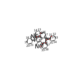 C=CC/C=C(C#N)\C(=C(/C)P(C1=CCCC=C1)c1ccccc1)c1c(C#N)cccc1P(c1ccccc1)c1ccccc1